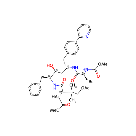 COC(=O)N[C@H](C(=O)N[C@@H](Cc1ccc(-c2ccccn2)cc1)C[C@H](O)[C@H](Cc1ccccc1)NC(=O)[C@@H]([AsH]C(=O)OC)C(C)(C)COC(C)=O)C(C)(C)C